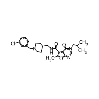 Cc1oc2ncn(CC(C)C)c(=O)c2c1C(=O)NCC1CCN(Cc2cccc(Cl)c2)CC1